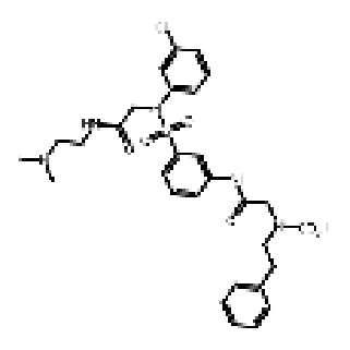 CN(C)CCNC(=O)CN(c1cccc(Cl)c1)S(=O)(=O)c1cccc(NC(=O)CN(CCc2ccccc2)C(=O)O)c1